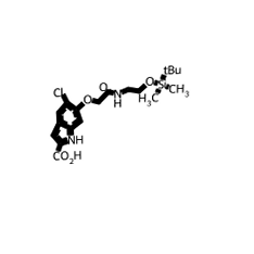 CC(C)(C)[Si](C)(C)OCCNC(=O)COc1cc2[nH]c(C(=O)O)cc2cc1Cl